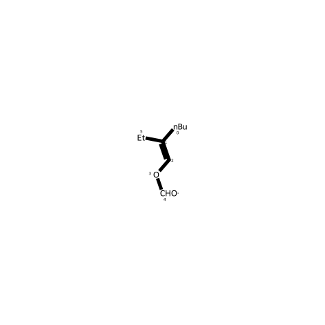 CCCCC(=CO[C]=O)CC